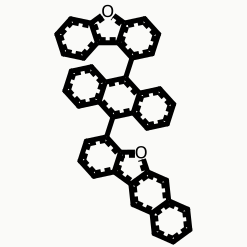 c1ccc2cc3c(cc2c1)oc1c(-c2c4ccccc4c(-c4cccc5oc6ccccc6c45)c4ccccc24)cccc13